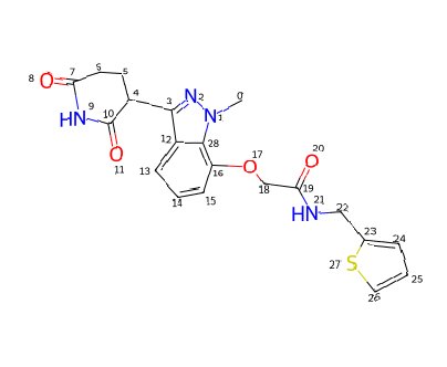 Cn1nc(C2CCC(=O)NC2=O)c2cccc(OCC(=O)NCc3cccs3)c21